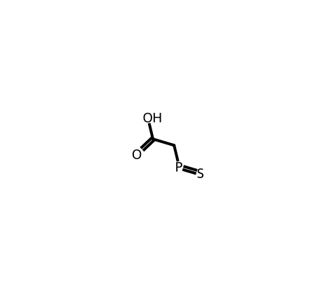 O=C(O)CP=S